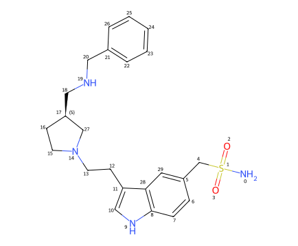 NS(=O)(=O)Cc1ccc2[nH]cc(CCN3CC[C@@H](CNCc4ccccc4)C3)c2c1